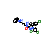 Cc1c(C(=O)NCCCCCNC23CC4CC(CC(C4)C2)C3)nn(-c2ccc(Cl)cc2Cl)c1-c1ccc(Cl)cc1